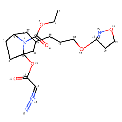 CCOC(=O)N1C2CCC1(OC(=O)C=[N+]=[N-])CC(CCCOC1=NOCC1)C2